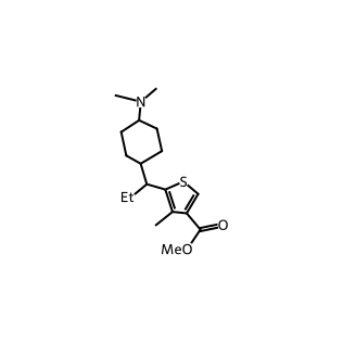 CCC(c1scc(C(=O)OC)c1C)C1CCC(N(C)C)CC1